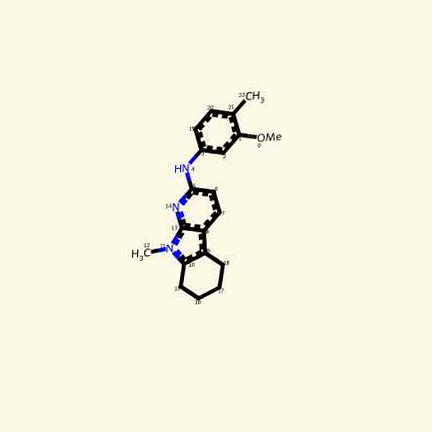 COc1cc(Nc2ccc3c4c(n(C)c3n2)CCCC4)ccc1C